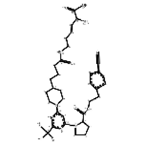 N#Cc1ccc(CCNC(=O)C2CCCN2c2cc(N3CCC(CCCC(=O)NCCCCC(N)C(=O)O)CC3)nc(C(F)(F)F)n2)cc1